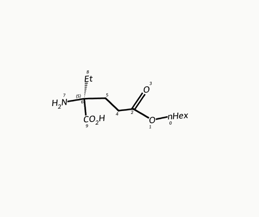 CCCCCCOC(=O)CC[C@@](N)(CC)C(=O)O